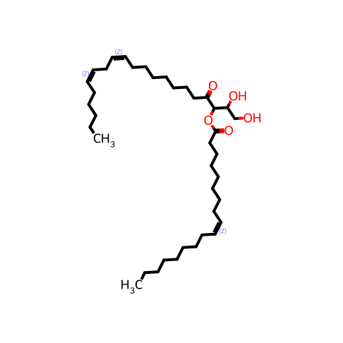 CCCCC/C=C\C/C=C\CCCCCCCC(=O)C(OC(=O)CCCCCCC/C=C\CCCCCCCC)C(O)CO